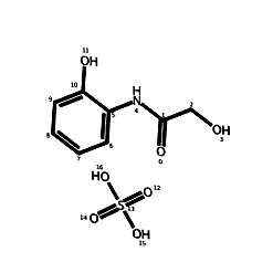 O=C(CO)Nc1ccccc1O.O=S(=O)(O)O